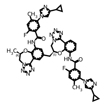 Cc1cc(F)c(C(=O)Nc2cccc3c2O[C@@H](Cc2cc(NC(=O)c4cc(-n5cnc(C6CC6)c5)c(C)cc4F)c4c(c2)-c2nnnn2C[C@@H](C)O4)Cn2nnnc2-3)cc1-n1cnc(C2CC2)c1